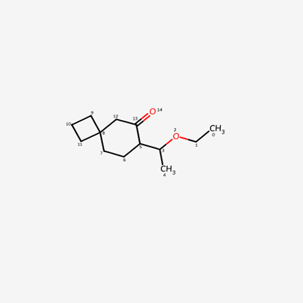 CCOC(C)C1CCC2(CCC2)CC1=O